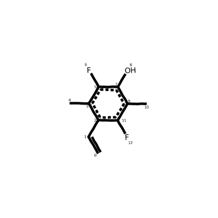 C=Cc1c(C)c(F)c(O)c(C)c1F